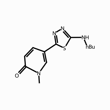 CCCCNc1nnc(-c2ccc(=O)n(C)c2)s1